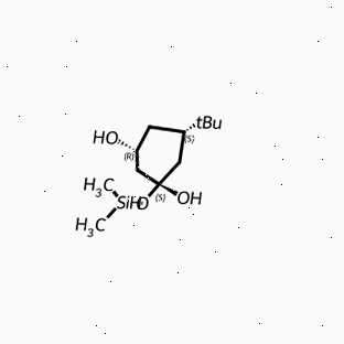 C[SiH](C)O[C@]1(O)C[C@H](O)C[C@H](C(C)(C)C)C1